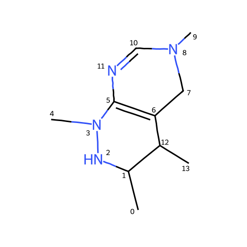 CC1NN(C)C2=C(CN(C)C=N2)C1C